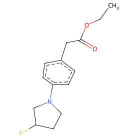 CCOC(=O)Cc1ccc(N2CCC(F)C2)cc1